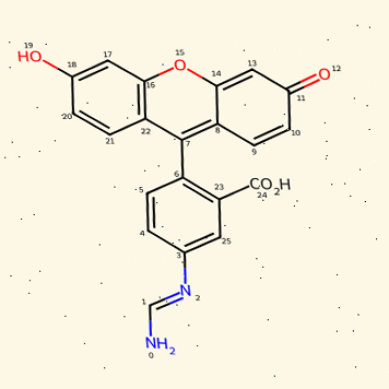 NC=Nc1ccc(-c2c3ccc(=O)cc-3oc3cc(O)ccc23)c(C(=O)O)c1